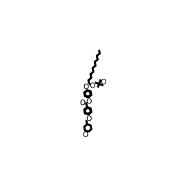 CCCCCCCCCCCC(OCC1(C)COC1)Oc1ccc(OC(=O)c2ccc(OCC3CCC4OC4C3)cc2)cc1